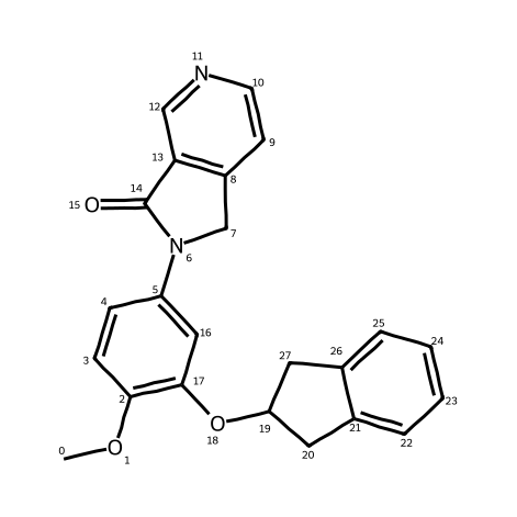 COc1ccc(N2Cc3ccncc3C2=O)cc1OC1Cc2ccccc2C1